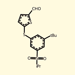 CC(C)S(=O)(=O)c1cc(Sc2ccc(C=O)s2)cc(C(C)(C)C)c1